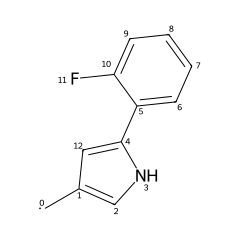 [CH2]c1c[nH]c(-c2ccccc2F)c1